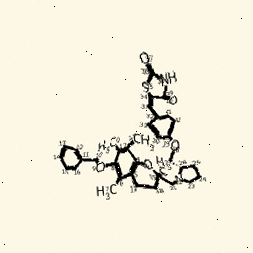 Cc1c(C)c2c(c(C)c1OCc1ccccc1)CCC(C)(CN1CCC[C@H]1COc1ccc(C=C3SC(=O)NC3=O)cc1)O2